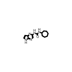 O=C(Nc1cnc2[nH]ccc2n1)NC1CCCCCC1